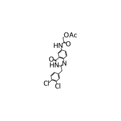 CC(=O)OCC(=O)Nc1ccc2nc(Cc3ccc(Cl)c(Cl)c3)[nH]c(=O)c2c1